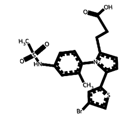 Cc1cc(NS(C)(=O)=O)ccc1-n1c(CCC(=O)O)ccc1-c1cc(Br)cs1